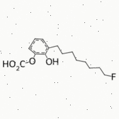 O=C(O)Oc1cccc(CCCCCCCCF)c1O